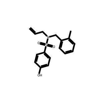 C=CCN(Cc1ccccc1C)S(=O)(=O)c1ccc(O)cc1